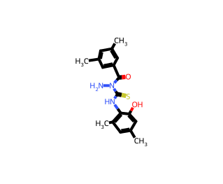 Cc1cc(C)cc(C(=O)N(N)C(=S)Nc2c(C)cc(C)cc2O)c1